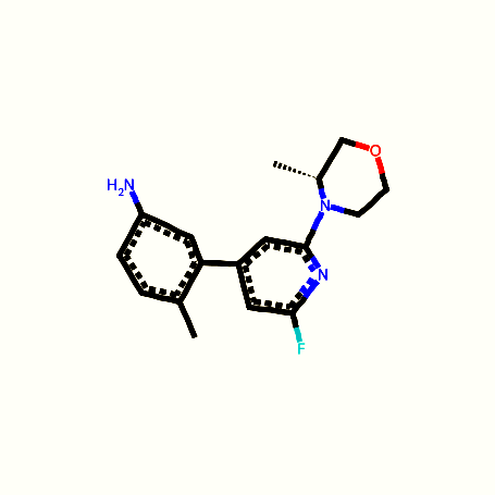 Cc1ccc(N)cc1-c1cc(F)nc(N2CCOC[C@H]2C)c1